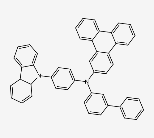 C1=CC2c3ccccc3N(c3ccc(N(c4cccc(-c5ccccc5)c4)c4ccc5c6ccccc6c6ccccc6c5c4)cc3)C2C=C1